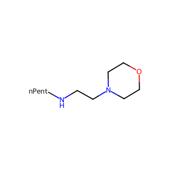 [CH2]CCCCNCCN1CCOCC1